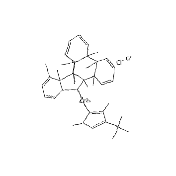 CC1=CC=CC2[CH]([Zr+2][C]3=C(C)C(C(C)(C)C)=CC3C)C3(C)C4(C)C=CC=CC4(C)C4(C)C=CC=CC4(C)C3(C)C12C.[Cl-].[Cl-]